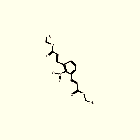 CCOC(=O)/C=C/c1cccc(/C=C/C(=O)OCC)c1[N+](=O)[O-]